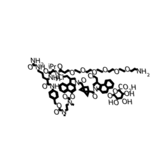 CC(C)C(NC(=O)CCOCCOCCOCCOCCOCCOCCN)C(=O)NC(CCCNC(N)=O)C(=O)Nc1ccc(COC(=O)N(C)CCN(C)C(=O)Oc2cc3c(c4ccccc24)C(CCl)CN3C(=O)C23CC4(C(=O)N5CC(CCl)c6c5cc(OC5OC(C(=O)O)C(O)C(O)C5O)c5ccccc65)CC24C3)cc1